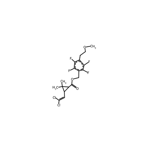 COCCc1c(F)c(F)c(COC(=O)C2C(C=C(Cl)Cl)C2(C)C)c(F)c1F